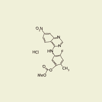 COC(=O)Oc1cc(Nc2ncnc3cc([N+](=O)[O-])ccc23)c(F)cc1C.Cl